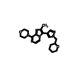 Cc1nc2c(N3CCOCC3)nccn2c1-c1cnn(CC2CCCCO2)c1